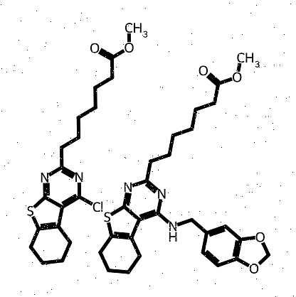 COC(=O)CCCCCCc1nc(Cl)c2c3c(sc2n1)CCCC3.COC(=O)CCCCCCc1nc(NCc2ccc3c(c2)OCO3)c2c3c(sc2n1)CCCC3